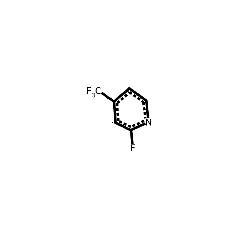 Fc1[c]c(C(F)(F)F)ccn1